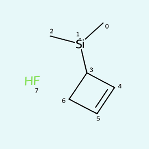 C[Si](C)C1C=CC1.F